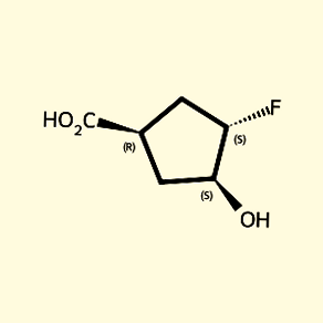 O=C(O)[C@@H]1C[C@H](O)[C@@H](F)C1